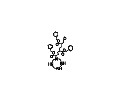 COCCC(CCC(CCC(C(=O)OCc1ccccc1)N1CCNCCNCCNCC1)C(=O)OCc1ccccc1)C(=O)OCc1ccccc1